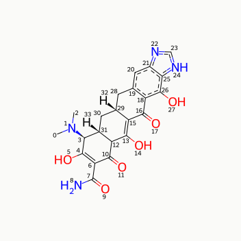 CN(C)[C@@H]1C(O)=C(C(N)=O)C(=O)C2C(O)=C3C(=O)c4c(cc5nc[nH]c5c4O)C[C@H]3C[C@H]21